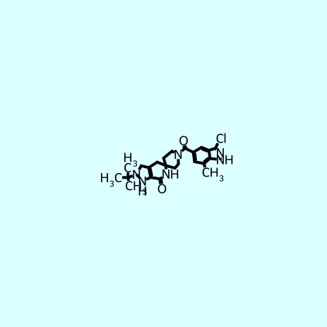 Cc1cc(C(=O)N2CCC3(CC2)CC2=C(NN(C(C)(C)C)C2)C(=O)N3)cc2c(Cl)n[nH]c12